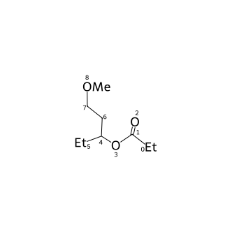 CCC(=O)OC(CC)CCOC